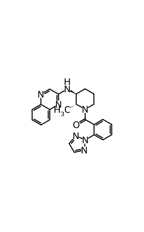 C[C@@H]1[C@@H](Nc2cnc3ccccc3n2)CCCN1C(=O)c1ccccc1-n1nccn1